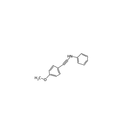 COc1ccc(C#CNc2ccccc2)cc1